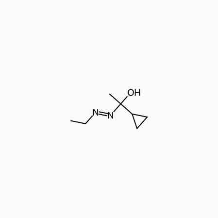 CCN=NC(C)(O)C1CC1